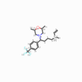 C=C[SiH](C)CCCC(c1ccc(C(F)(F)F)cc1)N1CC(C)OC(C)C1